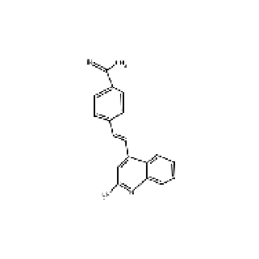 CC(=N)c1ccc(/C=C/c2cc(N)nc3ccccc23)cc1